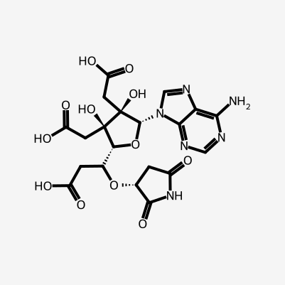 Nc1ncnc2c1ncn2[C@@H]1O[C@H](C(CC(=O)O)O[C@@H]2CC(=O)NC2=O)[C@](O)(CC(=O)O)[C@]1(O)CC(=O)O